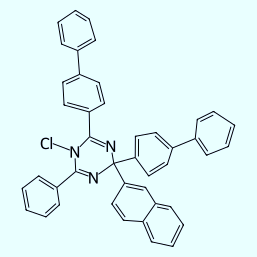 ClN1C(c2ccccc2)=NC(c2ccc(-c3ccccc3)cc2)(c2ccc3ccccc3c2)N=C1c1ccc(-c2ccccc2)cc1